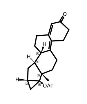 CC(=O)O[C@@]12C[C@@H]1C[C@H]1[C@@H]3CCC4=CC(=O)CCC4=C3CC[C@@]12C